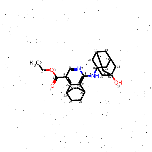 CCOC(=O)c1cnc(NC23CC4CC(CC(O)(C4)C2)C3)c2c1C1CCC2CC1